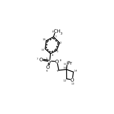 Cc1ccc(S(=O)(=O)OCC2(C(C)C)COC2)cc1